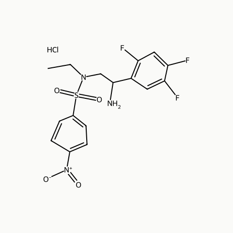 CCN(CC(N)c1cc(F)c(F)cc1F)S(=O)(=O)c1ccc([N+](=O)[O-])cc1.Cl